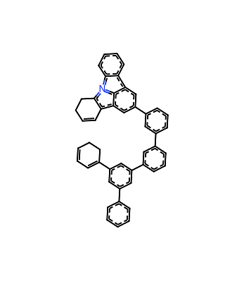 C1=CCCC(c2cc(-c3ccccc3)cc(-c3cccc(-c4cccc(-c5cc6c7c(n8c9ccccc9c(c5)c68)CCC=C7)c4)c3)c2)=C1